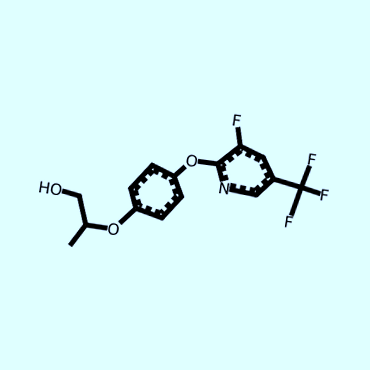 CC(CO)Oc1ccc(Oc2ncc(C(F)(F)F)cc2F)cc1